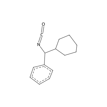 O=C=NC(c1ccccc1)C1CCCCC1